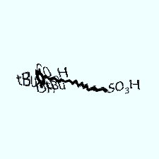 CC(C)(C)c1cc(C(=O)O)c(CCCCCCCCCCCCCCCCCCS(=O)(=O)O)c(C(C)(C)C)c1O